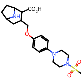 CS(=O)(=O)N1CCN(c2ccc(OCC3CC4CCC(N4)C3C(=O)O)cc2)CC1